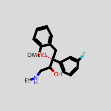 CCNCC(O)[C@@](O)(Cc1ccccc1OC)c1cccc(F)c1